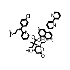 CCC(C)(C)C(=O)O[C@H]1C[C@@H](C)C=C2C=C[C@H](C)[C@H](CC[C@@H]3C[C@@H](O)CC(=O)O3)[C@H]21.CN(C)CC[C@@H](c1ccc(Cl)cc1)c1ccccn1.c1ccc(-c2ccccn2)nc1